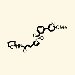 COc1ccc(-c2cccc(S(=O)(=O)n3ccc(C=CC(=O)NOC4CCCCO4)c3)c2)cn1